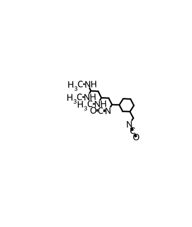 CNC(CC(NC)NC)CC(N=C=O)C1CCCC(CN=C=O)C1